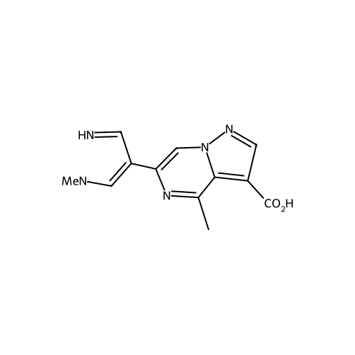 CN/C=C(\C=N)c1cn2ncc(C(=O)O)c2c(C)n1